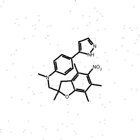 Cc1c(C)c([N+](=O)[O-])c(C)c2c1OC(C)(CN(C)c1ccc(-c3ccn[nH]3)cc1)C2